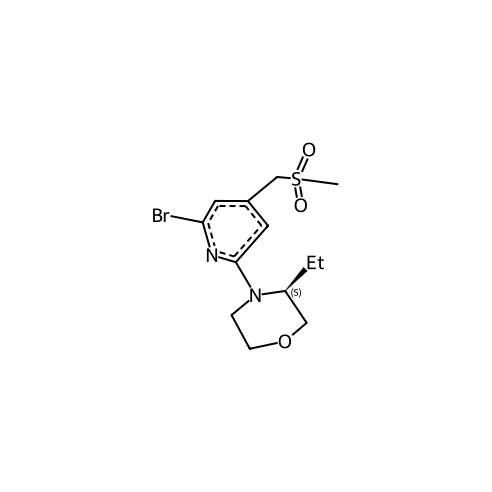 CC[C@H]1COCCN1c1cc(CS(C)(=O)=O)cc(Br)n1